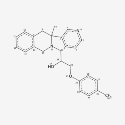 CC1(c2cccnc2)Cc2ccccc2CN1CC(O)COc1ccc(C(F)(F)F)cc1